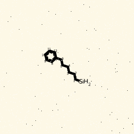 [SiH2]CCCCCCc1ccccc1